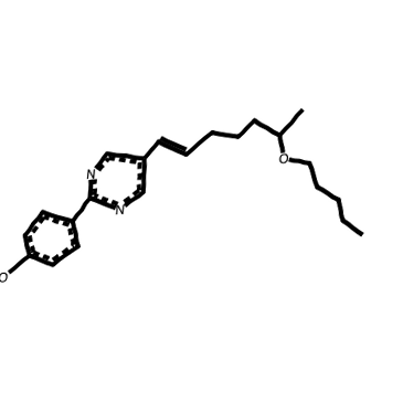 CCCCCOC(C)CCCC=Cc1cnc(-c2ccc(O)cc2)nc1